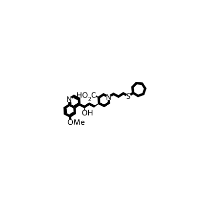 COc1ccc2nccc([C@@H](O)CC[C@@H]3CCN(CCCSC4CCCCCC4)C[C@@H]3C(=O)O)c2c1